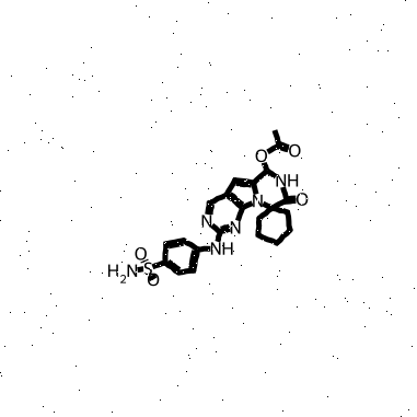 CC(=O)OC1NC(=O)C2(CCCCC2)n2c1cc1cnc(Nc3ccc(S(N)(=O)=O)cc3)nc12